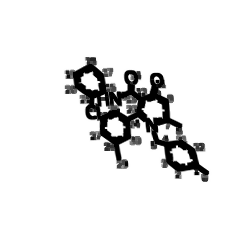 Cc1ccc(Cn2c(C)cc(=O)c(C(=O)Nc3ccccc3Cl)c2-c2cccc(C)c2)cc1